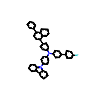 Fc1ccc(-c2ccc(N(c3ccc(-c4ccc(-c5ccccc5)c5ccccc45)cc3)c3ccc(-n4c5ccccc5c5ccccc54)cc3)cc2)cc1